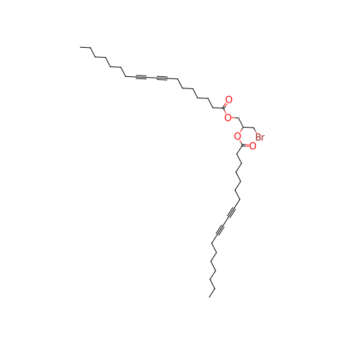 CCCCCCCC#CC#CCCCCCCC(=O)OCC(CBr)OC(=O)CCCCCCC#CC#CCCCCCCC